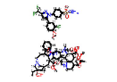 CC[C@]1(O)C[C@@H]2C[N@@](CCc3c([nH]c4ccccc34)[C@@](C(=O)OC)(c3cc4c(cc3OC)N(C)[C@H]3[C@@](O)(C(=O)OC)[C@H](OC(C)=O)[C@]5(CC)C=CCN6CC[C@]43[C@@H]65)C2)C1.COc1ccc(-c2cc(C(F)F)nn2-c2ccc(S(N)(=O)=O)cc2)cc1F